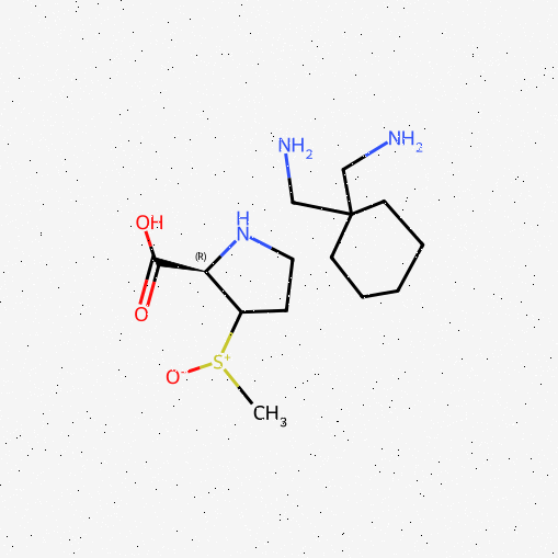 C[S+]([O-])C1CCN[C@@H]1C(=O)O.NCC1(CN)CCCCC1